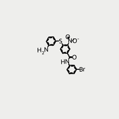 Nc1cccc(Sc2ccc(C(=O)Nc3cccc(Br)c3)cc2[N+](=O)[O-])c1